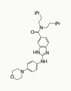 CC(C)CCN(CCC(C)C)C(=O)c1ccc2nc(Nc3ccc(N4CCOCC4)cc3)[nH]c2c1